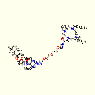 COc1nc(NCCOCCOCCOCCNC(=O)CN2CCN(CC(=O)O)CCN(CC(=O)O)CCN(CC(=O)O)CC2)nc(OC)c1NC(=O)c1ccc(Oc2cc3c(cc2C)CCC3(C)C)o1